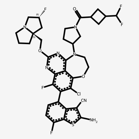 N#Cc1c(N)sc2c(F)ccc(-c3c(Cl)c4c5c(nc(OC[C@@]67CCCN6C[C@H](F)C7)nc5c3F)N(C3CCN(C(=O)C5CC(C(F)F)C5)C3)CCO4)c12